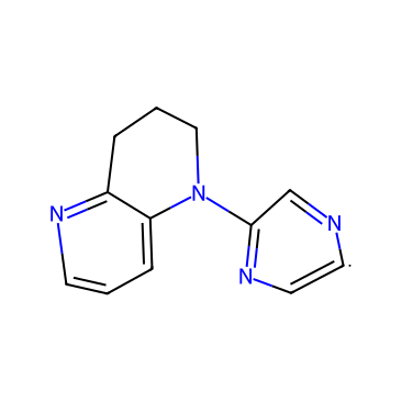 [c]1cnc(N2CCCc3ncccc32)cn1